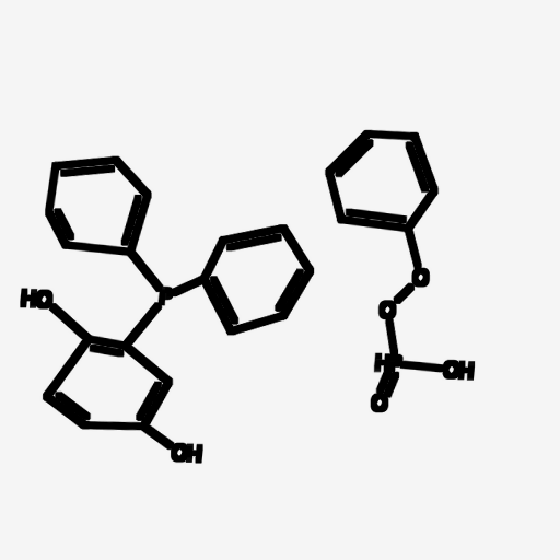 O=[PH](O)OOc1ccccc1.Oc1ccc(O)c(P(c2ccccc2)c2ccccc2)c1